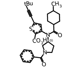 CC1CCC(C(=O)N(c2cc(C#CC(C)(C)C)sc2C(=O)O)[C@H]2CCN(C(=O)c3ccccc3)C2)CC1